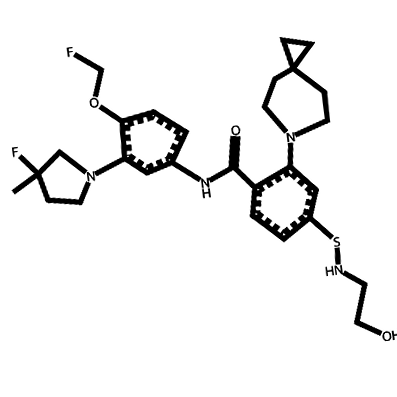 CC1(F)CCN(c2cc(NC(=O)c3ccc(SNCCO)cc3N3CCC4(CC3)CC4)ccc2OCF)C1